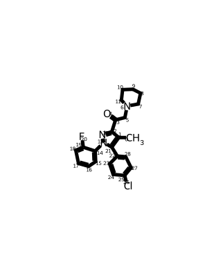 Cc1c(C(=O)CN2CCCCC2)nn(-c2ccccc2F)c1-c1ccc(Cl)cc1